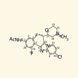 CC(=O)Nc1cc(F)c(-c2nc3cc(Cl)ccn3c2CC2CN(C)CCO2)c(F)c1